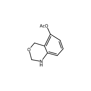 CC(=O)Oc1cccc2c1COCN2